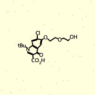 CC(C)(C)n1cc(C(=O)O)c(=O)c2cc(OCCOCCO)c(Cl)cc21